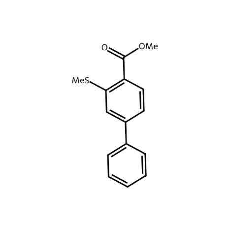 COC(=O)c1ccc(-c2ccccc2)cc1SC